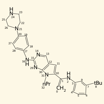 C=C(Nc1cccc(C(C)(C)C)c1)c1cc2cnc(Nc3ccc(N4CCNCC4)cc3)nc2n1CCC